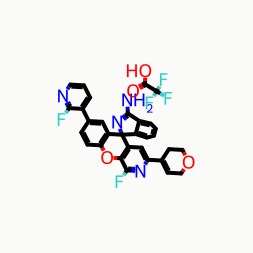 NC1=NC2(c3cc(-c4cccnc4F)ccc3Oc3c2cc(C2=CCOCC2)nc3F)c2ccccc21.O=C(O)C(F)(F)F